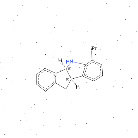 CC(C)c1cccc2c1N[C@@H]1c3ccccc3C[C@H]21